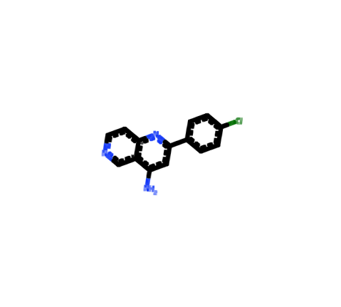 Nc1cc(-c2ccc(Cl)cc2)nc2ccncc12